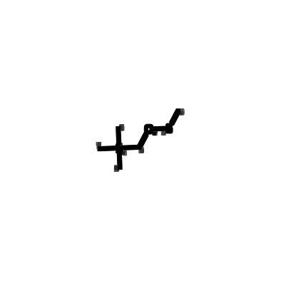 CSOCS(C)(C)C